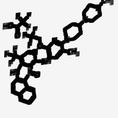 Cc1cc(Nc2ncc(C(F)(F)F)c(Nc3ccc4ccccc4c3P=O)n2)c(OCC(F)(F)F)nc1N1CCC(N2CCN(C)CC2)CC1.O=C(O)C(F)(F)F